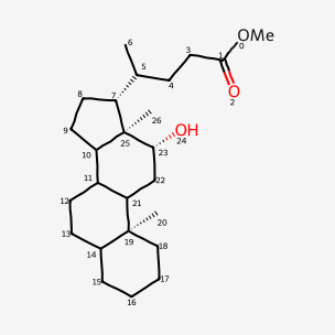 COC(=O)CCC(C)[C@H]1CCC2C3CCC4CCCC[C@]4(C)C3C[C@@H](O)[C@@]21C